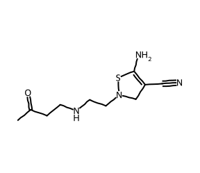 CC(=O)CCNCCN1CC(C#N)=C(N)S1